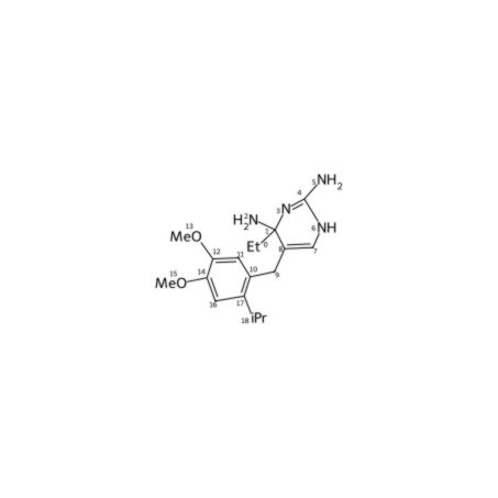 CCC1(N)N=C(N)NC=C1Cc1cc(OC)c(OC)cc1C(C)C